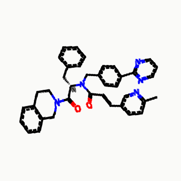 Cc1ccc(C=CC(=O)N(Cc2ccc(-c3ncccn3)cc2)[C@@H](Cc2ccccc2)C(=O)N2CCc3ccccc3C2)cn1